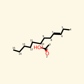 CC(=O)O.CC/C=C/CCCCCCCC